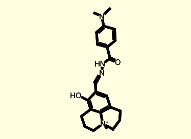 CN(C)c1ccc(C(=O)N/N=C/c2cc3c4c(c2O)CCC[N+]4(C)CCC3)cc1